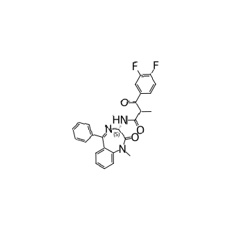 CC(C(=O)N[C@H]1N=C(c2ccccc2)c2ccccc2N(C)C1=O)C(=O)c1ccc(F)c(F)c1